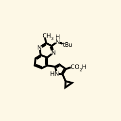 Cc1nc2cccc(-c3cc(C(=O)O)c(C4CC4)[nH]3)c2nc1NC(C)(C)C